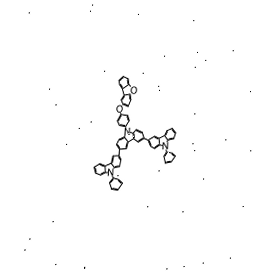 c1ccc(-n2c3ccccc3c3cc(-c4ccc5c(c4)c4cc(-c6ccc7c(c6)c6ccccc6n7-c6ccccc6)ccc4n5-c4ccc(Oc5ccc6oc7ccccc7c6c5)cc4)ccc32)cc1